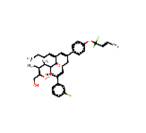 C/C=C/C(F)(F)Oc1ccc(/C(=C/C(=C/CCC)C(=O)C(C)[C@H](C)C(C)C(O)CO)CC/C=C(\C)c2cccc(F)c2)cc1